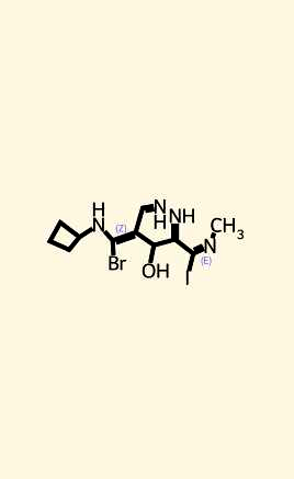 C/N=C(/I)C(=N)C(O)/C(C=N)=C(\Br)NC1CCC1